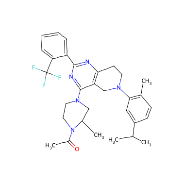 CC(=O)N1CCN(c2nc(-c3ccccc3C(F)(F)F)nc3c2CN(c2cc(C(C)C)ccc2C)CC3)CC1C